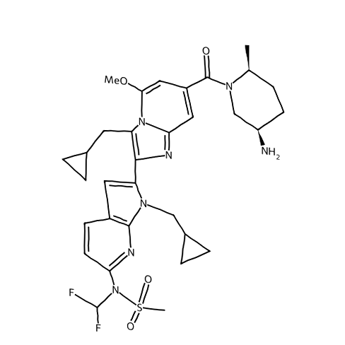 COc1cc(C(=O)N2C[C@H](N)CC[C@@H]2C)cc2nc(-c3cc4ccc(N(C(F)F)S(C)(=O)=O)nc4n3CC3CC3)c(CC3CC3)n12